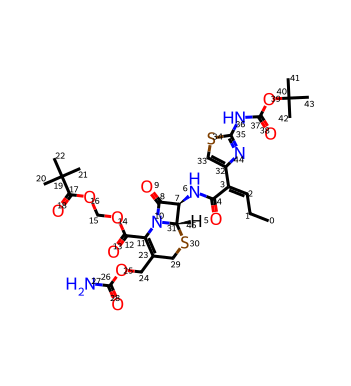 CC/C=C(\C(=O)N[C@@H]1C(=O)N2C(C(=O)OCOC(=O)C(C)(C)C)=C(COC(N)=O)CS[C@@H]12)c1csc(NC(=O)OC(C)(C)C)n1